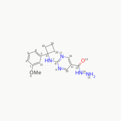 COc1cccc(C2(Nc3ncc(C(=O)NN)cn3)CCC2)c1